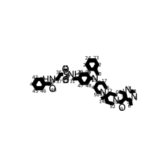 Cc1ncnc(C)c1C(=O)N1CCC(C)(N2CCC(N(Cc3ccccc3)c3ccc(CNS(=O)(=O)CCNC(=O)c4ccccc4)cc3)CC2)CC1